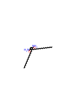 CCCCCCCCCCCCCCCCCCc1c(C(N)=O)ccc(C(N)=O)c1CCCCCCCCCCCCCCCCCC